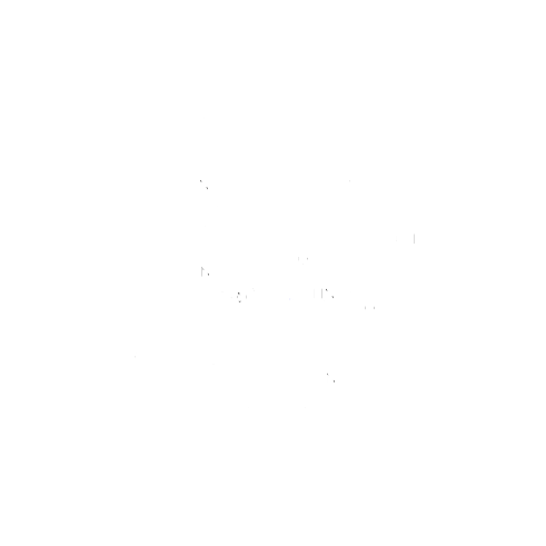 CCCCC(CC)C(=O)NC1=CC(=[N+](c2cccc3ccccc23)c2cccc3ccccc23)C=C/C1=C1\C(=O)C(c2ccc(N(c3cccc4ccccc34)c3cccc4ccccc34)cc2NC(=O)C(CC)CCCC)=C1[O-]